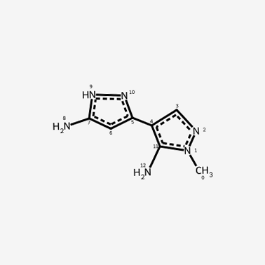 Cn1ncc(-c2cc(N)[nH]n2)c1N